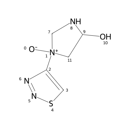 [O-][N+]1(c2csnn2)CNC(O)C1